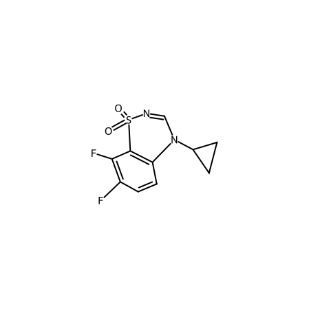 O=S1(=O)N=CN(C2CC2)c2ccc(F)c(F)c21